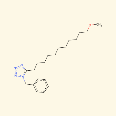 COCCCCCCCCCCCc1nnnn1Cc1ccccc1